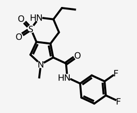 CCC1Cc2c(cn(C)c2C(=O)Nc2ccc(F)c(F)c2)S(=O)(=O)N1